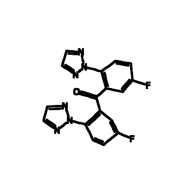 O=C(c1cc(F)ccc1-n1nccn1)c1cc(F)ccc1-n1nccn1